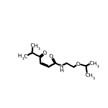 CC(C)OCCNC(=O)/C=C\C(=O)C(C)C